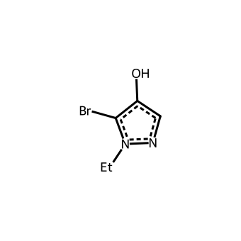 CCn1ncc(O)c1Br